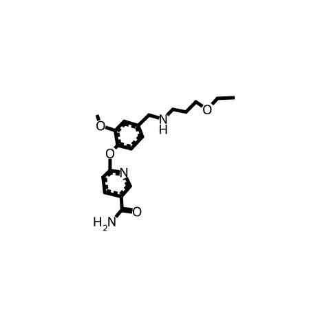 CCOCCCNCc1ccc(Oc2ccc(C(N)=O)cn2)c(OC)c1